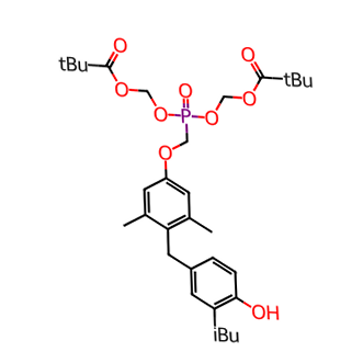 CCC(C)c1cc(Cc2c(C)cc(OCP(=O)(OCOC(=O)C(C)(C)C)OCOC(=O)C(C)(C)C)cc2C)ccc1O